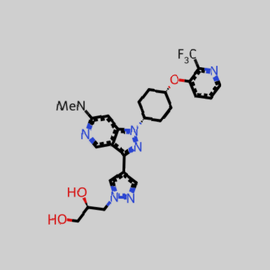 CNc1cc2c(cn1)c(-c1cnn(C[C@H](O)CO)c1)nn2[C@H]1CC[C@@H](Oc2cccnc2C(F)(F)F)CC1